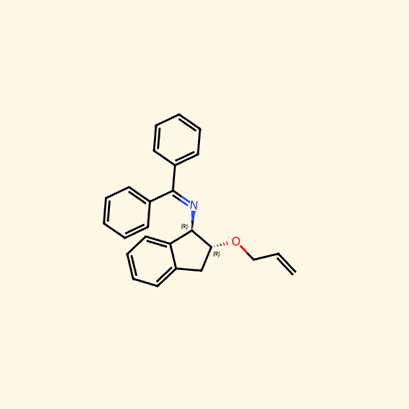 C=CCO[C@@H]1Cc2ccccc2[C@H]1N=C(c1ccccc1)c1ccccc1